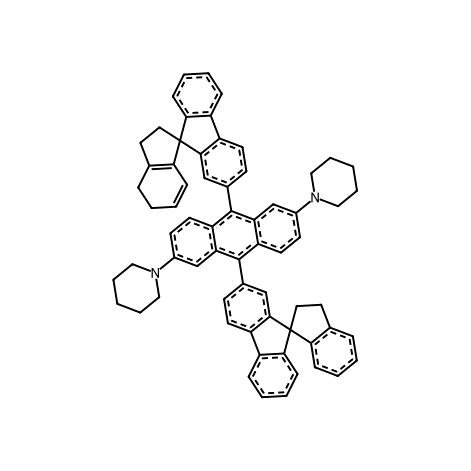 C1=CC2=C(CC1)CCC21c2ccccc2-c2ccc(-c3c4ccc(N5CCCCC5)cc4c(-c4ccc5c(c4)C4(CCc6ccccc64)c4ccccc4-5)c4ccc(N5CCCCC5)cc34)cc21